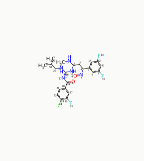 CNC(CC(N=O)c1cc(F)cc(F)c1)N/C(=N\C(=O)c1ccc(Cl)c(F)c1)NCC(C)C